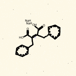 O=C(O)/C(Cc1ccccc1)=C(/Cc1ccccc1)C(=O)O.[NaH].[NaH]